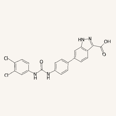 O=C(Nc1ccc(-c2ccc3c(C(=O)O)n[nH]c3c2)cc1)Nc1ccc(Cl)c(Cl)c1